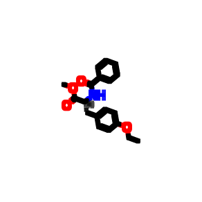 CCOc1ccc(C[C@@H](NC(=O)c2ccccc2)C(=O)OC)cc1